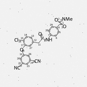 CNS(=O)(=O)c1ccc(NC(=O)Cc2ccc(Cl)c(Oc3cc(C#N)cc(C#N)c3)c2)cc1